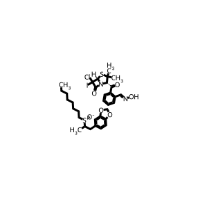 CC1(C)S[C@H]2N(C(=O)C2(Cl)I)[C@H]1C(=O)c1ccccc1/C=N/O.CCCCCCCC[S+]([O-])C(C)Cc1ccc2c(c1)OCO2